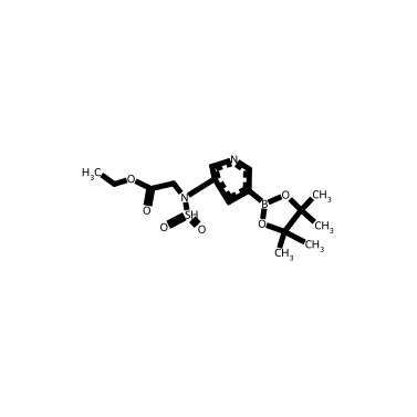 CCOC(=O)CN(c1cncc(B2OC(C)(C)C(C)(C)O2)c1)[SH](=O)=O